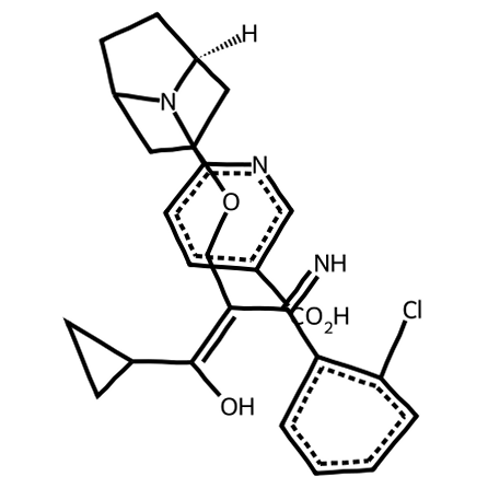 N=C(/C(COC1CC2CC[C@@H](C1)N2c1ccc(C(=O)O)cn1)=C(\O)C1CC1)c1ccccc1Cl